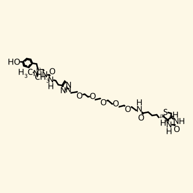 CN(C)[C@H](CNC(=O)NCCc1cnn(CCOCCOCCOCCOCCOCCNC(=O)CCCC[C@@H]2SC[C@@H]3NC(=O)N[C@@H]32)n1)Cc1ccc(O)cc1